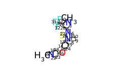 Cc1ncc(N2CC3(CCC3)N(c3ccc(OC4CCN(C)CC4)cc3)C2=S)cc1C(F)(F)F